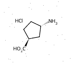 Cl.N[C@H]1CC[C@H](C(=O)O)C1